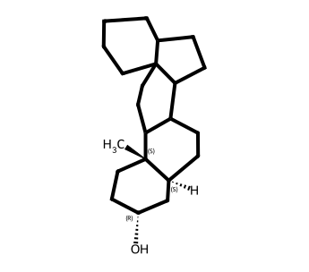 C[C@]12CC[C@@H](O)C[C@@H]1CCC1C3CCC4CCCCC43CCC12